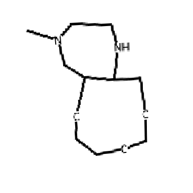 CN1CCNC2CCCCCCCC2C1